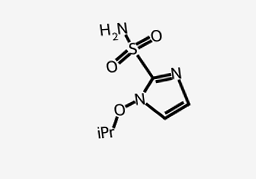 CC(C)On1ccnc1S(N)(=O)=O